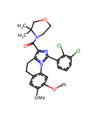 COc1cc2c(cc1OC(C)C)-n1c(-c3cccc(Cl)c3Cl)nc(C(=O)N3CCOCC3(C)C)c1CC2